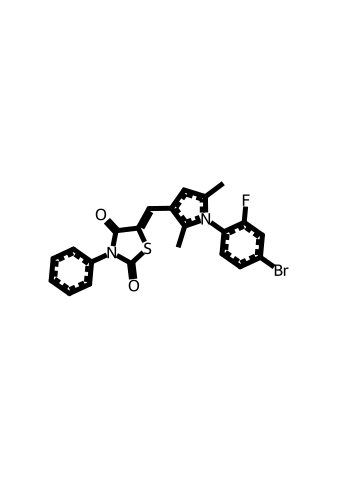 Cc1cc(C=C2SC(=O)N(c3ccccc3)C2=O)c(C)n1-c1ccc(Br)cc1F